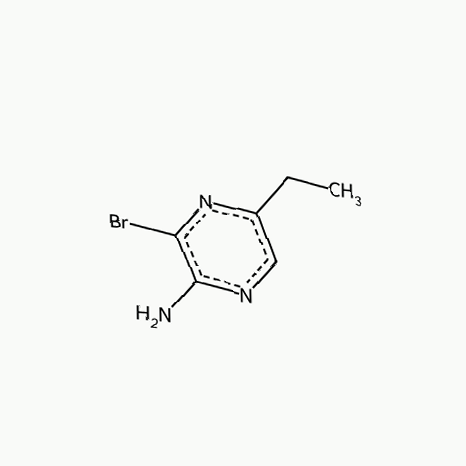 CCc1cnc(N)c(Br)n1